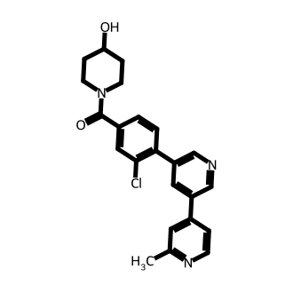 Cc1cc(-c2cncc(-c3ccc(C(=O)N4CCC(O)CC4)cc3Cl)c2)ccn1